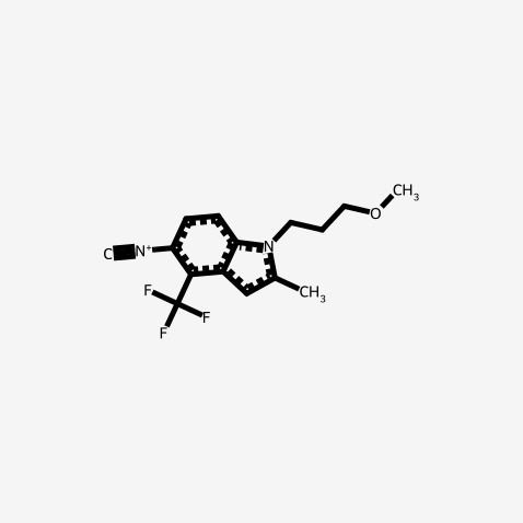 [C-]#[N+]c1ccc2c(cc(C)n2CCCOC)c1C(F)(F)F